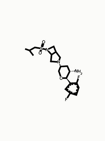 CC(C)CS(=O)(=O)N1CC2CN([C@H]3CO[C@H](c4cc(F)ccc4F)[C@@H](N)C3)CC21